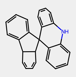 C1=CC2c3ccccc3C3(c4ccccc4Nc4ccccc43)C2C=C1